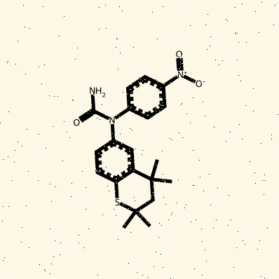 CC1(C)CC(C)(C)c2cc(N(C(N)=O)c3ccc([N+](=O)[O-])cc3)ccc2S1